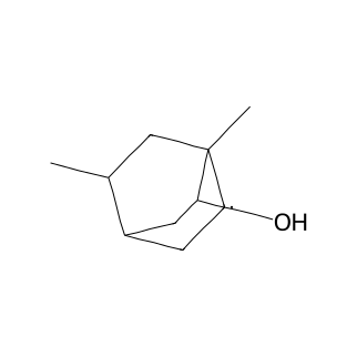 CC1CC2(C)[CH]CC1CC2O